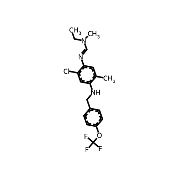 CCN(C)C=Nc1cc(C)c(NCc2ccc(OC(F)(F)F)cc2)cc1Cl